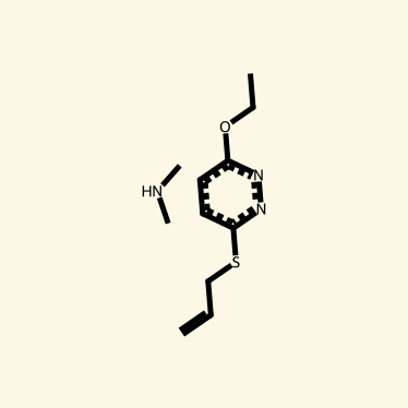 C=CCSc1ccc(OCC)nn1.CNC